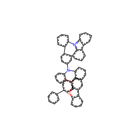 c1ccc(-c2ccc(-c3ccccc3N(c3ccc(-c4ccccc4-n4c5ccccc5c5ccccc54)cc3)c3ccccc3-c3cccc4c3oc3ccccc34)cc2)cc1